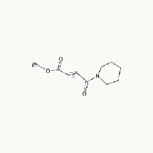 CC(C)OC(=O)/C=C/C(=O)N1CCCCC1